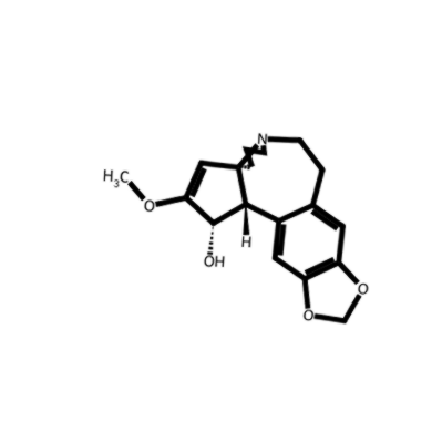 COC1=C[C@@]23CCCN2CCc2cc4c(cc2[C@@H]3[C@@H]1O)OCO4